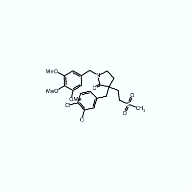 COc1cc(CN2CCC(CCS(C)(=O)=O)(Cc3ccc(Cl)c(Cl)c3)C2=O)cc(OC)c1OC